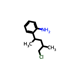 CC(CCl)CC(C)c1ccccc1N